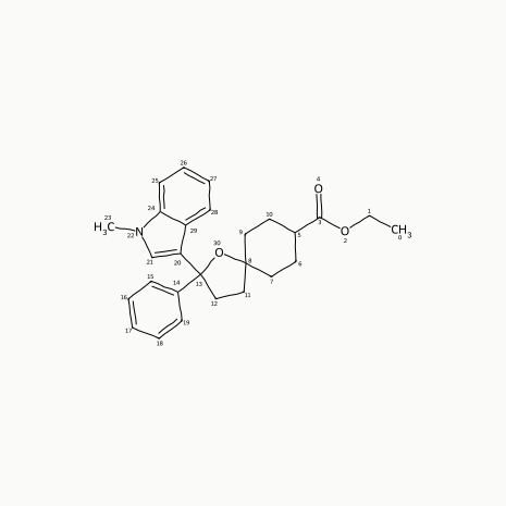 CCOC(=O)C1CCC2(CC1)CCC(c1ccccc1)(c1cn(C)c3ccccc13)O2